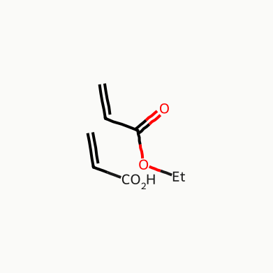 C=CC(=O)O.C=CC(=O)OCC